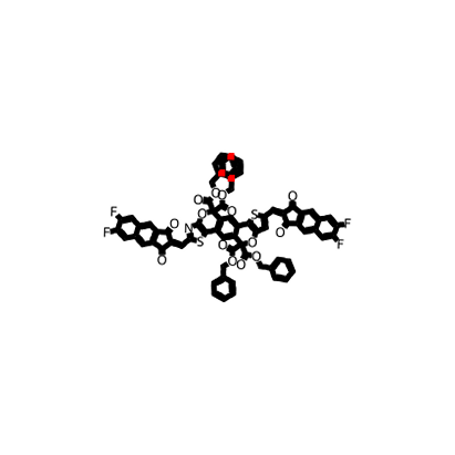 O=C1C(=Cc2cc3c(s2)-c2cc4c(cc2C(C(=O)OCc2ccccc2)(C(=O)OCc2ccccc2)O3)-c2sc(C=C3C(=O)c5cc6cc(F)c(F)cc6cc5C3=O)nc2OC4(C(=O)OCc2ccccc2)C(=O)OCc2ccccc2)C(=O)c2cc3cc(F)c(F)cc3cc21